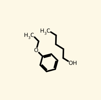 CCCCCO.CCOc1ccccc1